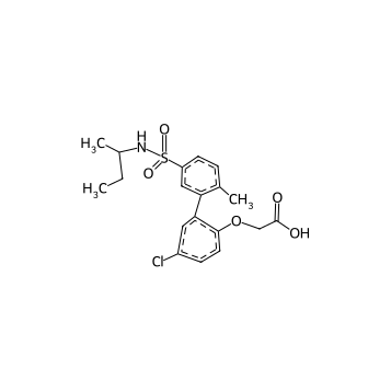 CCC(C)NS(=O)(=O)c1ccc(C)c(-c2cc(Cl)ccc2OCC(=O)O)c1